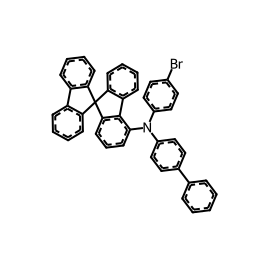 Brc1ccc(N(c2ccc(-c3ccccc3)cc2)c2cccc3c2-c2ccccc2C32c3ccccc3-c3ccccc32)cc1